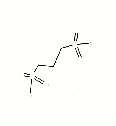 O=S(=O)([O-])CCCS(=O)(=O)[O-].[K+].[K+]